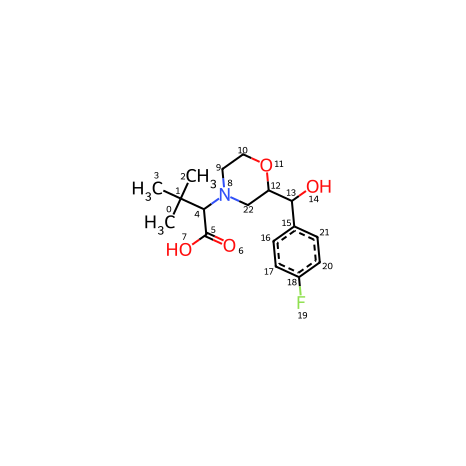 CC(C)(C)C(C(=O)O)N1CCOC(C(O)c2ccc(F)cc2)C1